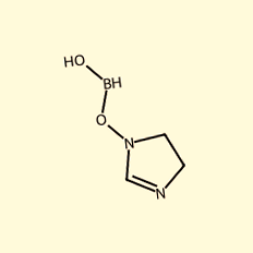 OBON1C=NCC1